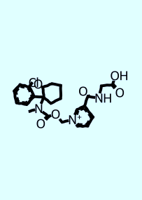 CN(C(=O)OC[n+]1cccc(C(=O)NCC(=O)O)c1)C1(c2ccccc2Cl)CCCCC1=O